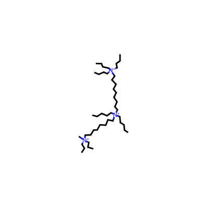 CCCCC[N+](CCCCC)(CCCCCCCCC[N+](CCCC)(CCCC)CCCC)CCCCCCCC[N+](C)(CCC)CCC